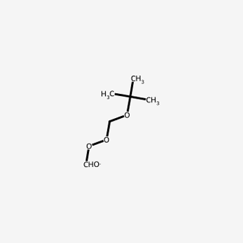 CC(C)(C)OCOO[C]=O